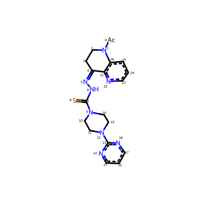 CC(=O)N1CC/C(=N/NC(=S)N2CCN(c3ncccn3)CC2)c2ncccc21